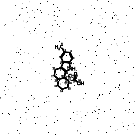 Cc1ccc2[nH]c3c(c2c1)CCN1CCC[C@@H](C(=O)O)[C@]31C